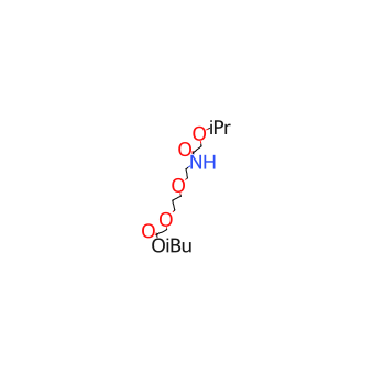 CC(C)COC(=O)COCCCOCCNC(=O)COC(C)C